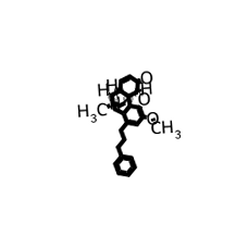 COC1=C2O[C@H]3C(=O)C=C[C@H]4[C@H]5CC(C(CCCc6ccccc6)=C1)C2[C@@]34CCN5C